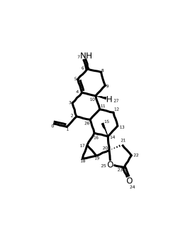 C=CC1CC2=CC(=N)CC[C@@H]2C2CC[C@@]3(C)C(C4CC4[C@@]34CCC(=O)O4)C12